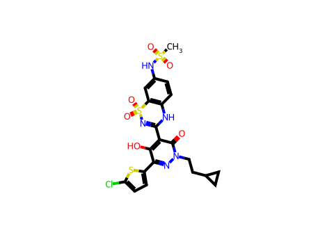 CS(=O)(=O)Nc1ccc2c(c1)S(=O)(=O)N=C(c1c(O)c(-c3ccc(Cl)s3)nn(CCC3CC3)c1=O)N2